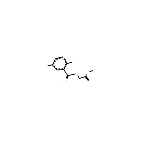 CC(C)(C)OC(=O)CNC(=N)c1cc(N)cnc1Cl